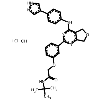 CC(C)(C)NC(=O)COc1cccc(-c2nc3c(c(Nc4ccc(-c5cn[nH]c5)cc4)n2)COC3)c1.Cl.Cl